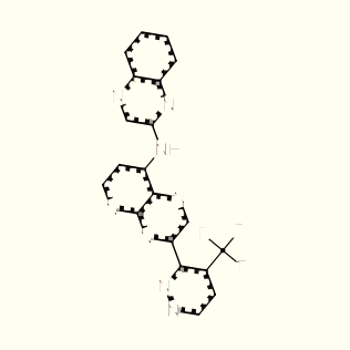 FC(F)(F)c1ccnnc1-c1cnc2c(Nc3cnc4ccccc4n3)ccnc2n1